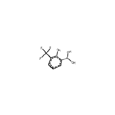 OB(O)c1cccc(C(F)(F)F)c1O